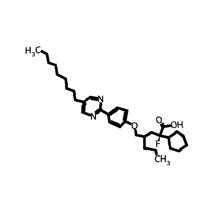 CCCCCCCCCc1cnc(-c2ccc(OCC(CCC)C[C@@](F)(C(=O)O)C3CCCCC3)cc2)nc1